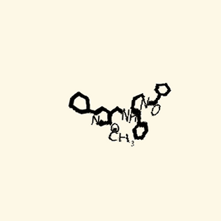 COc1cnc(C2CCCCC2)cc1CNC1CCN(C(=O)C2CCCCC2)C1c1ccccc1